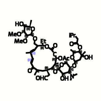 CC[C@H]1OC(=O)C[C@@H](OC(C)=O)[C@@H](C)[C@@H](O[C@H]2O[C@H](C)[C@H](O[C@H]3C[C@@](C)(O)[C@@H](OC(=O)CC(C)C)[C@H](C)O3)[C@H](N(C)C)[C@H]2O)[C@@H](CC=O)C[C@@H](C)C(=O)/C=C/C(C)=C/C1CO[C@@H]1O[C@H](C)[C@@H](O)[C@@H](OC)[C@H]1OC